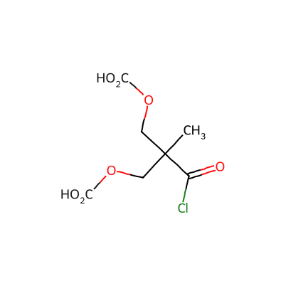 CC(COC(=O)O)(COC(=O)O)C(=O)Cl